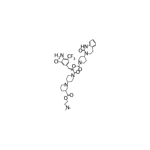 CN(C)CCOC(=O)C1CCCN(C2CCN(C(=O)[C@@H](Cc3cc(Cl)c(N)c(C(F)(F)F)c3)OC(=O)N3CCC(N4CCc5ccccc5NC4=O)CC3)CC2)C1